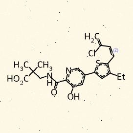 C=C(Cl)/C=C\c1sc(-c2cnc(C(=O)NCC(C)(C)C(=O)O)c(O)c2)cc1CC